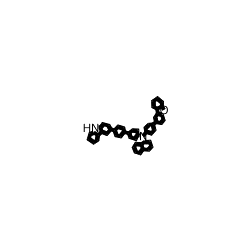 C1=CC2Oc3ccc(-c4ccc(N(c5ccc(-c6ccc(-c7ccc8[nH]c9ccccc9c8c7)cc6)cc5)c5cccc6ccccc56)cc4)cc3C2C=C1